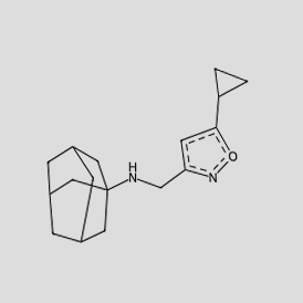 c1c(CNC23CC4CC(CC(C4)C2)C3)noc1C1CC1